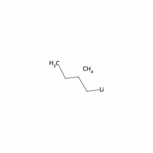 C.[Li][CH2]CCC